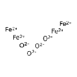 [Fe+2].[Fe+2].[Fe+2].[Fe+2].[O-2].[O-2].[O-2].[O-2]